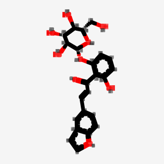 O=C(C=Cc1ccc2occc2c1)c1c(O)cccc1O[C@H]1O[C@@H](CO)[C@H](O)[C@@H](O)[C@@H]1O